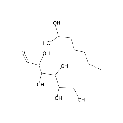 CCCCCC(O)O.O=CC(O)C(O)C(O)C(O)CO